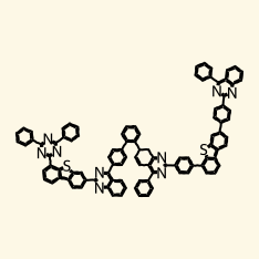 C1=CC(c2ccccc2-c2ccc(-c3nc(-c4ccc5c(c4)sc4c(-c6nc(-c7ccccc7)nc(-c7ccccc7)n6)cccc45)nc4ccccc34)cc2)Cc2nc(-c3ccc(-c4cccc5c4sc4cc(-c6ccc(-c7nc(-c8ccccc8)c8ccccc8n7)cc6)ccc45)cc3)nc(-c3ccccc3)c21